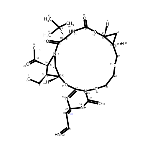 CC[C@@H]1[C@@H]2CN(C(=O)[C@H](C(C)(C)C)NC(=O)O[C@@H]3C[C@H]3CCCCCN3C(=O)N/C(=C\C=N)N=C3O2)[C@@H]1C(C)=O